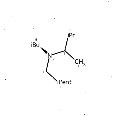 CCCC(C)CN(C(C)C(C)C)[C@H](C)CC